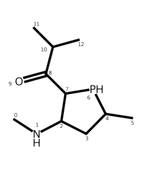 CNC1CC(C)PC1C(=O)C(C)C